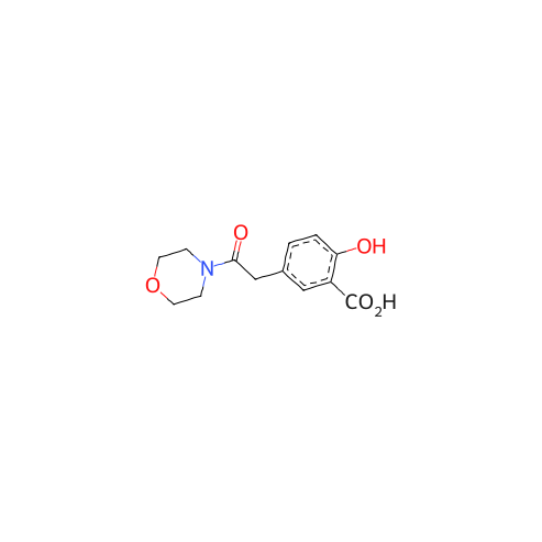 O=C(O)c1cc(CC(=O)N2CCOCC2)ccc1O